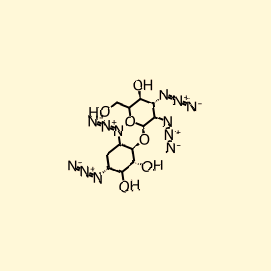 [N-]=[N+]=NC1[C@@H](O[C@@H]2C(N=[N+]=[N-])C[C@@H](N=[N+]=[N-])C(O)[C@H]2O)OC(CO)[C@@H](O)[C@@H]1N=[N+]=[N-]